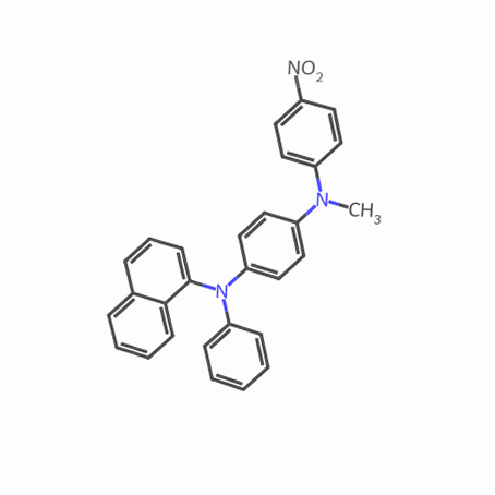 CN(c1ccc(N(c2ccccc2)c2cccc3ccccc23)cc1)c1ccc([N+](=O)[O-])cc1